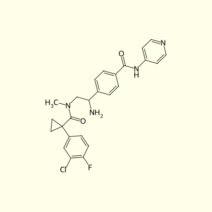 CN(CC(N)c1ccc(C(=O)Nc2ccncc2)cc1)C(=O)C1(c2ccc(F)c(Cl)c2)CC1